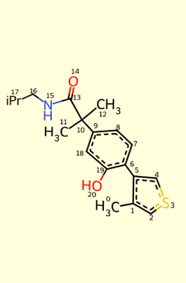 Cc1cscc1-c1ccc(C(C)(C)C(=O)NCC(C)C)cc1O